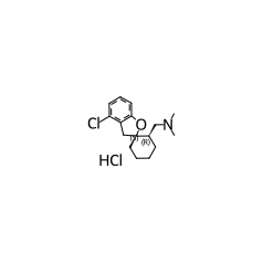 CN(C)C[C@H]1CCCC[C@]12Cc1c(Cl)cccc1O2.Cl